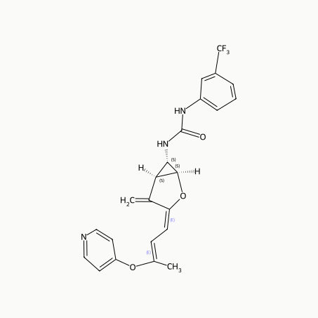 C=C1/C(=C\C=C(/C)Oc2ccncc2)O[C@@H]2[C@@H](NC(=O)Nc3cccc(C(F)(F)F)c3)[C@H]12